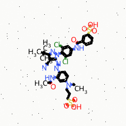 CCN(CCCS(=O)(=O)O)c1ccc(/N=N/c2c(C#N)c(C(C)(C)C)nn2-c2c(Cl)cc(NC(=O)c3cccc(S(=O)(=O)O)c3)cc2Cl)c(NC(C)=O)c1